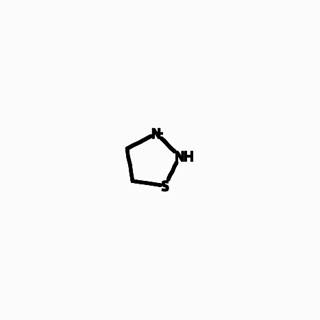 C1CSN[N]1